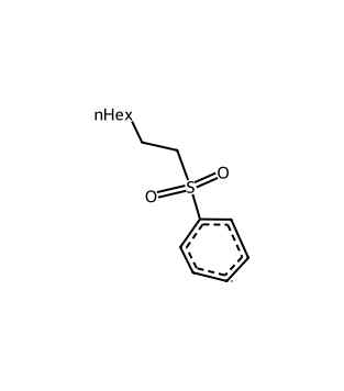 CCCCCCCCS(=O)(=O)c1cc[c]cc1